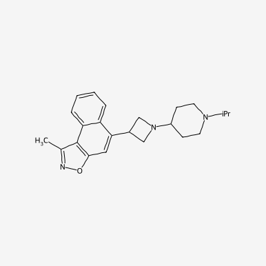 Cc1noc2cc(C3CN(C4CCN(C(C)C)CC4)C3)c3ccccc3c12